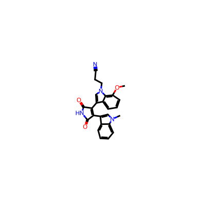 COc1cccc2c(C3=C(c4cn(C)c5ccccc45)C(=O)NC3=O)cn(CCC#N)c12